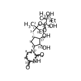 CCC(C)(C[C@H]1CC(n2ccc(=O)[nH]c2=O)[C@H](O)[C@@H]1O)OP(=O)(O)[C@@](C)(O)CC